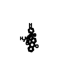 NS(=O)(=O)c1c(S(=O)(=O)N2CCNCC2)ccc2c1C(=O)c1ccccc1C2=O